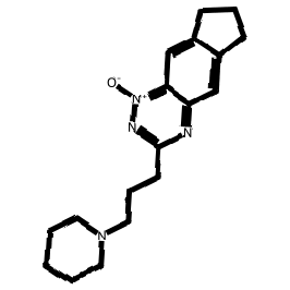 [O-][n+]1nc(CCCN2CCCCC2)nc2cc3c(cc21)CCC3